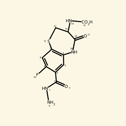 NNC(=O)c1cc2c(cc1F)SCC(NC(=O)O)C(=O)N2